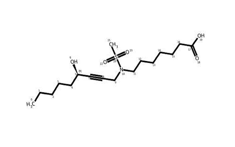 CCCCC[C@@H](O)C#CCN(CCCCCCC(=O)O)S(C)(=O)=O